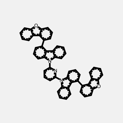 c1cc(-n2c3ccccc3c3c(-c4cccc5oc6ccccc6c45)cccc32)nc(-n2c3ccccc3c3c(-c4cccc5oc6ccccc6c45)cccc32)c1